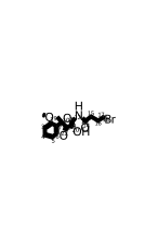 COc1ccccc1C1(C)OC(NC(=O)CCCBr)=C(O)C1=O